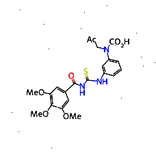 COc1cc(C(=O)NC(=S)Nc2cccc(N(CC(C)=O)C(=O)O)c2)cc(OC)c1OC